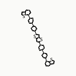 c1cc(-c2ccc(-c3ccc(-c4cc5sc(-c6ccc(-c7ccc(-c8cccc9ccsc89)cc7)cc6)cc5s4)cc3)cc2)c2sccc2c1